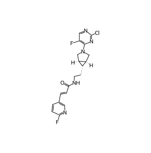 O=C(/C=C/c1ccc(F)nc1)NCC[C@@H]1[C@H]2CN(c3nc(Cl)ncc3F)C[C@@H]12